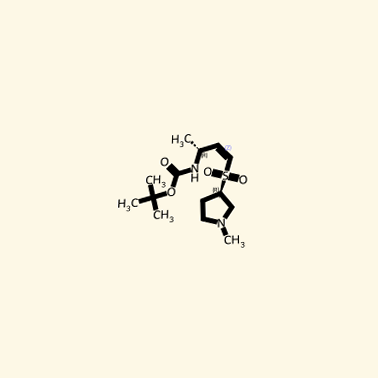 C[C@H](/C=C\S(=O)(=O)[C@@H]1CCN(C)C1)NC(=O)OC(C)(C)C